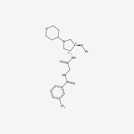 CC(C)O[C@@H]1CN(C2CCOCC2)C[C@H]1NC(=O)CNC(=O)c1cccc(C(F)(F)F)c1